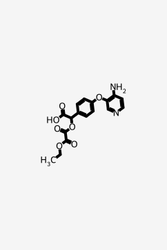 CCOC(=O)C(=O)OC(C(=O)O)c1ccc(Oc2cnccc2N)cc1